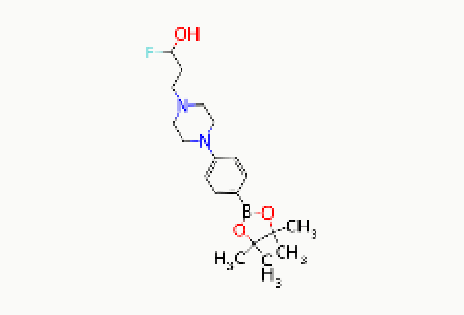 CC1(C)OB(c2ccc(N3CCN(CCC(O)F)CC3)cc2)OC1(C)C